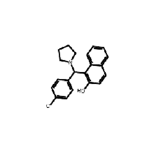 Oc1ccc2ccccc2c1C(c1ccc(Cl)cc1)N1CCCC1